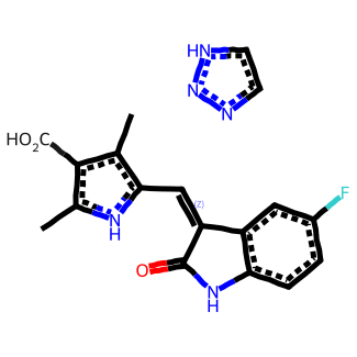 Cc1[nH]c(/C=C2\C(=O)Nc3ccc(F)cc32)c(C)c1C(=O)O.c1c[nH]nn1